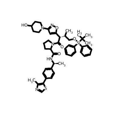 Cc1ncsc1-c1ccc([C@H](C)NC(=O)C2CCCN2C(=O)[C@H](c2cc(N3CCC(O)CC3)no2)C(C)CO[Si](c2ccccc2)(c2ccccc2)C(C)(C)C)cc1